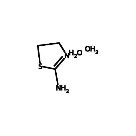 NC1=NCCS1.O.O